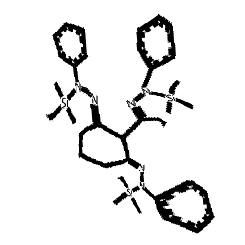 CC(=NN(c1ccccc1)[Si](C)(C)C)C1C(=NN(c2ccccc2)[Si](C)(C)C)CCCC1=NN(c1ccccc1)[Si](C)(C)C